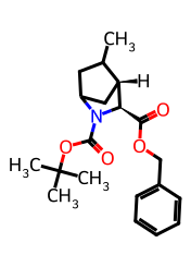 CC1CC2C[C@H]1[C@@H](C(=O)OCc1ccccc1)N2C(=O)OC(C)(C)C